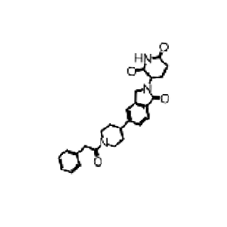 O=C1CCC(N2Cc3cc(C4CCN(C(=O)Cc5ccccc5)CC4)ccc3C2=O)C(=O)N1